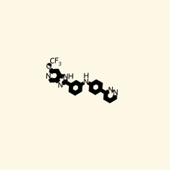 FC(F)(F)Oc1cc2[nH]c(-c3cccc(Nc4ccc(-c5cccnn5)cc4)c3)nc2cn1